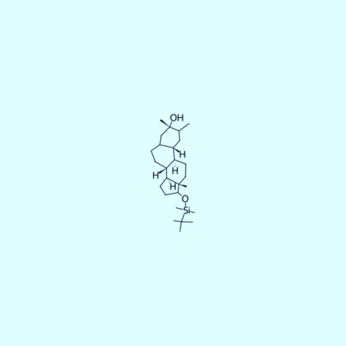 CC1C[C@H]2C(CC[C@@H]3[C@@H]2CC[C@]2(C)C(O[Si](C)(C)C(C)(C)C)CC[C@@H]32)C[C@]1(C)O